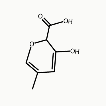 CC1=COC(C(=O)O)C(O)=C1